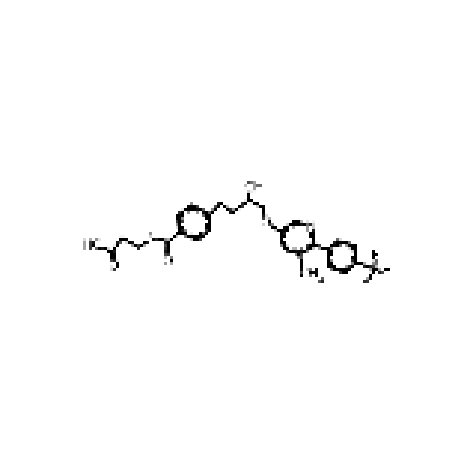 Cc1cc(OCC(C)CCc2ccc(C(=O)NCCC(=O)O)cc2)cnc1-c1ccc(C(F)(F)F)cc1